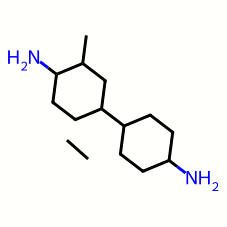 CC.CC1CC(C2CCC(N)CC2)CCC1N